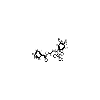 CCS(=O)(=O)N(CCOC(=O)c1cccnc1)c1ccc(F)c(F)c1